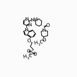 COC1CCN(C(=O)[C@H]2CC[C@H](Nc3nccc(-n4ccc5c(OCCCS(C)(=O)=O)cccc54)n3)CC2)CC1